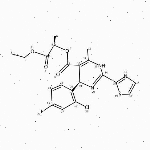 CCOC(=O)[C@@H](C)OC(=O)C1=C(C)NC(c2nccs2)=N[C@H]1c1ccc(F)cc1Cl